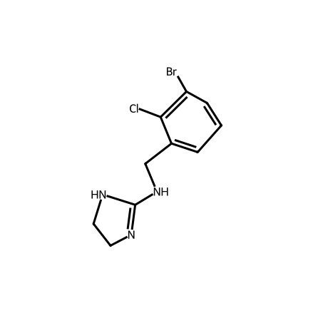 Clc1c(Br)cccc1CNC1=NCCN1